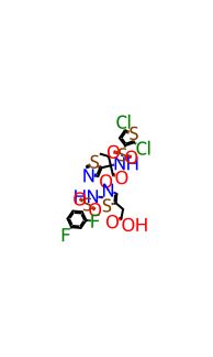 CCC(NS(=O)(=O)c1cc(Cl)sc1Cl)(C(=O)ON1C=C(CC(=O)O)SC1NS(=O)(=O)c1ccc(F)cc1F)c1cncs1